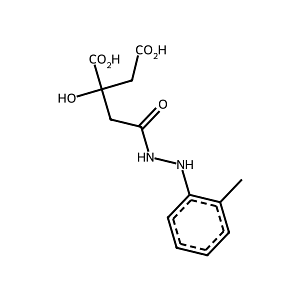 Cc1ccccc1NNC(=O)CC(O)(CC(=O)O)C(=O)O